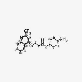 NC1CCC(CNCCSc2cc(C(F)(F)F)nc3ccccc23)CC1